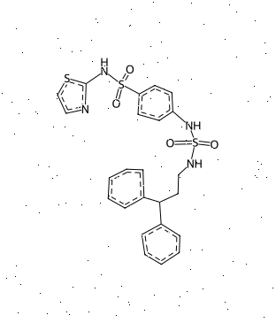 O=S(=O)(NCCC(c1ccccc1)c1ccccc1)Nc1ccc(S(=O)(=O)Nc2nccs2)cc1